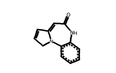 O=C1C=C2C=CCN2c2ccccc2N1